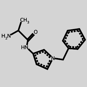 CC(N)C(=O)Nc1ccn(Cc2ccccc2)c1